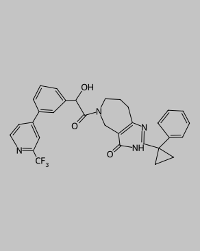 O=C(C(O)c1cccc(-c2ccnc(C(F)(F)F)c2)c1)N1CCCc2nc(C3(c4ccccc4)CC3)[nH]c(=O)c2C1